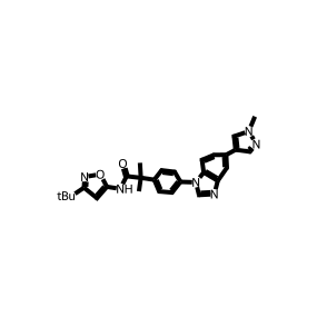 Cn1cc(-c2ccc3c(c2)ncn3-c2ccc(C(C)(C)C(=O)Nc3cc(C(C)(C)C)no3)cc2)cn1